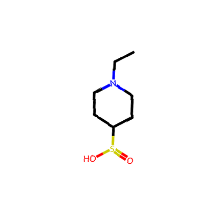 CCN1CCC(S(=O)O)CC1